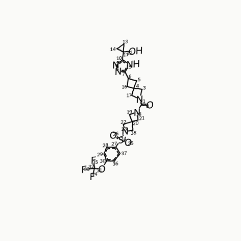 O=C(N1CC2(CC(c3nnc(C4(O)CC4)[nH]3)C2)C1)N1CC2(C1)CN(S(=O)(=O)c1ccc(OC(F)(F)F)cc1)C2